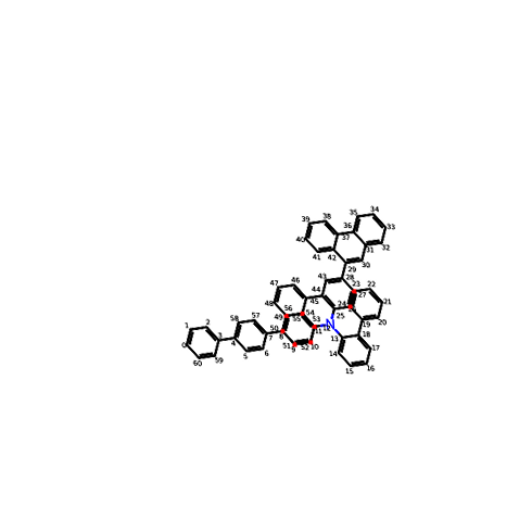 c1ccc(-c2ccc(-c3ccc(N(c4ccccc4-c4ccccc4)c4ccc(-c5cc6ccccc6c6ccccc56)cc4-c4cccc5ccccc45)cc3)cc2)cc1